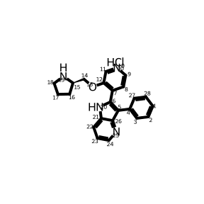 Cl.c1ccc(-c2c(-c3ccncc3OC[C@H]3CCCN3)[nH]c3cccnc23)cc1